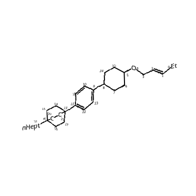 CC/C=C/COC1CCC(c2ccc(C34CCC(CCCCCCC)(CC3)CC4)cc2)CC1